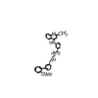 COc1ccccc1-c1cccc(CNCCNC(=O)c2cccc(Nc3cc(C)nc4ccccc34)c2)c1